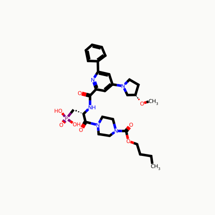 CCCCOC(=O)N1CCN(C(=O)[C@H](CP(=O)(O)O)NC(=O)c2cc(N3CC[C@H](OC)C3)cc(-c3ccccc3)n2)CC1